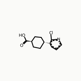 O=C(O)[C@H]1CC[C@H](c2cccnc2Cl)CC1